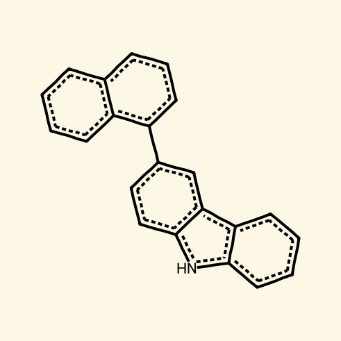 c1ccc2c(-c3ccc4[nH]c5ccccc5c4c3)cccc2c1